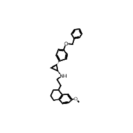 COc1ccc2c(c1)C(CCN[C@H]1C[C@@H]1c1ccc(OCc3ccccc3)cc1)CCC2